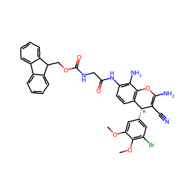 COc1cc([C@H]2C(C#N)=C(N)Oc3c2ccc(NC(=O)CNC(=O)OCC2c4ccccc4-c4ccccc42)c3N)cc(Br)c1OC